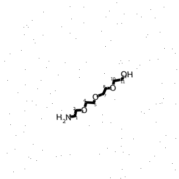 NCCOCCOCCOCCO